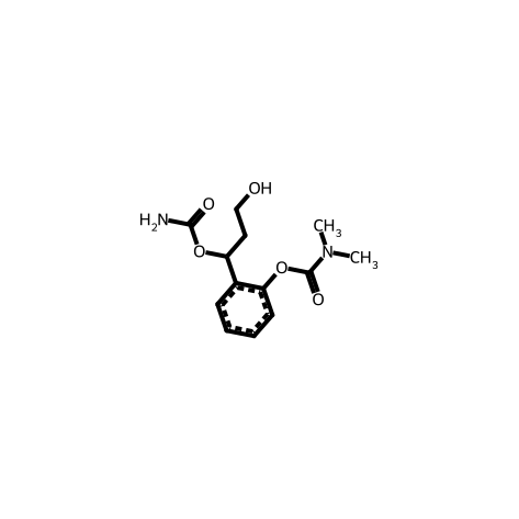 CN(C)C(=O)Oc1ccccc1C(CCO)OC(N)=O